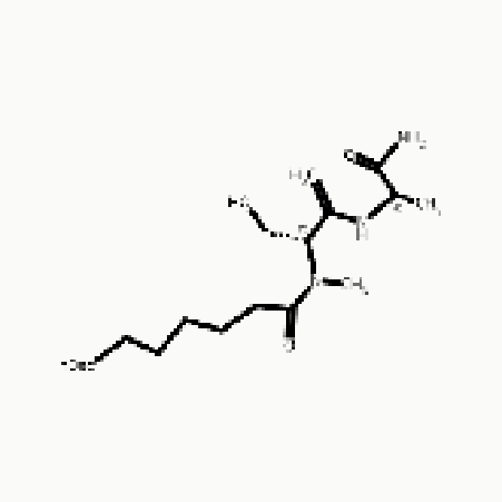 C=C(N[C@H](C)C(N)=O)[C@@H](CO)N(C)C(=O)CCCCCCCCCCCCCCC